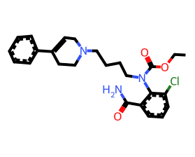 CCOC(=O)N(CCCCN1CC=C(c2ccccc2)CC1)c1c(Cl)cccc1C(N)=O